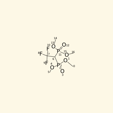 COP(=O)(OC)C(C(F)(F)F)P(=O)(OC)OC